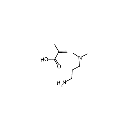 C=C(C)C(=O)O.CN(C)CCCN